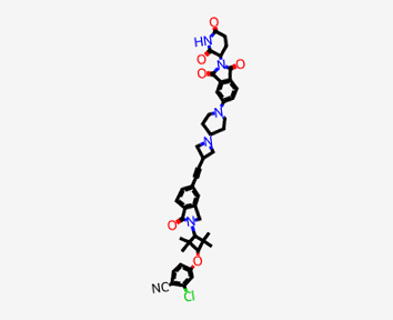 CC1(C)C(Oc2ccc(C#N)c(Cl)c2)C(C)(C)C1N1Cc2cc(C#CC3CN(C4CCN(c5ccc6c(c5)C(=O)N(C5CCC(=O)NC5=O)C6=O)CC4)C3)ccc2C1=O